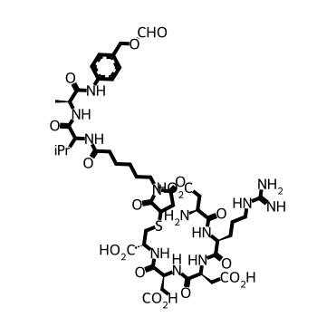 CC(C)C(NC(=O)CCCCCN1C(=O)CC(SC[C@H](NC(=O)[C@H](CC(=O)O)NC(=O)[C@H](CC(=O)O)NC(=O)[C@H](CCCNC(=N)N)NC(=O)[C@@H](N)CC(=O)O)C(=O)O)C1=O)C(=O)N[C@@H](C)C(=O)Nc1ccc(COC=O)cc1